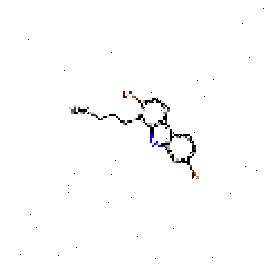 CCCCCCCCCCCCCc1c(Br)ccc2c1[nH]c1cc(Br)ccc12